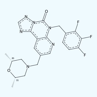 C[C@@H]1CN(Cc2cnc3c(c2)c2ncnn2c(=O)n3Cc2ccc(F)c(F)c2F)C[C@H](C)O1